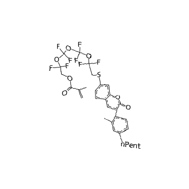 C=C(C)C(=O)OCC(F)(F)OC(F)(F)OC(F)(F)OC(F)(F)CSc1ccc2cc(-c3ccc(CCCCC)cc3C)c(=O)oc2c1